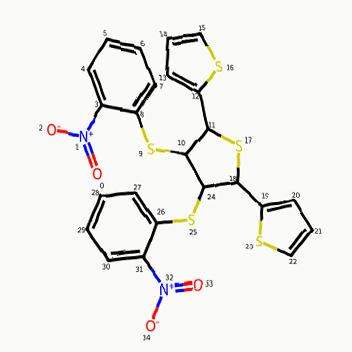 O=[N+]([O-])c1ccccc1SC1C(c2cccs2)SC(c2cccs2)C1Sc1ccccc1[N+](=O)[O-]